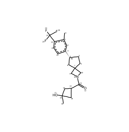 Cc1cc([C@@H]2CCC3(C2)CN(C(=O)C2CC(C)(O)C2)C3)ccc1C(F)(F)F